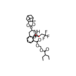 CCC(CC)C(=O)OCOC(=O)c1cccc(CC(NC(=O)CCC(F)(F)F)B2OC3CC4CC(C4(C)C)C3(C)O2)c1OC